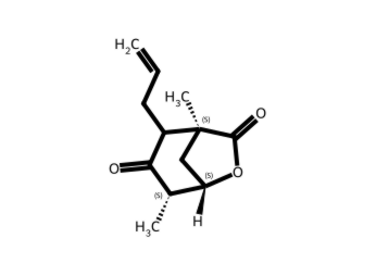 C=CCC1C(=O)[C@@H](C)[C@@H]2C[C@]1(C)C(=O)O2